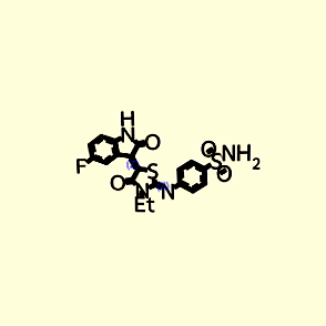 CCN1C(=O)/C(=C2/C(=O)Nc3ccc(F)cc32)S/C1=N\c1ccc(S(N)(=O)=O)cc1